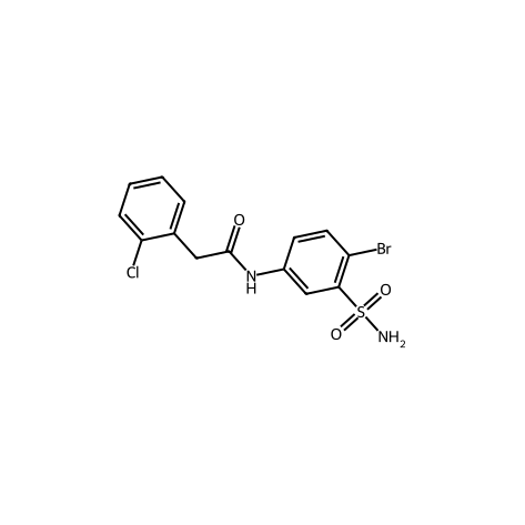 NS(=O)(=O)c1cc(NC(=O)Cc2ccccc2Cl)ccc1Br